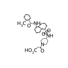 Cc1ccccc1C(=O)Nc1cccc2c(S(=O)(=O)NC3CCN(C(=O)CC(=O)O)CC3)cccc12